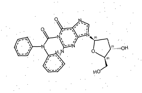 Nc1nc2c(ncn2[C@H]2C[C@H](O)[C@@H](CO)O2)c(=O)n1C(=O)N(c1ccccc1)c1ccccc1